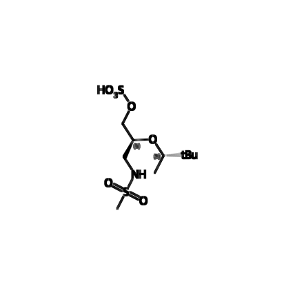 C[C@H](O[C@@H](CNS(C)(=O)=O)COS(=O)(=O)O)C(C)(C)C